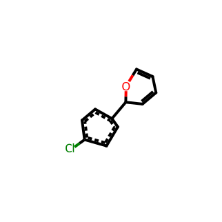 Clc1ccc(C2C=CC=CO2)cc1